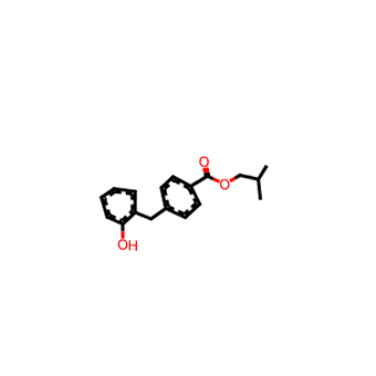 CC(C)COC(=O)c1ccc(Cc2ccccc2O)cc1